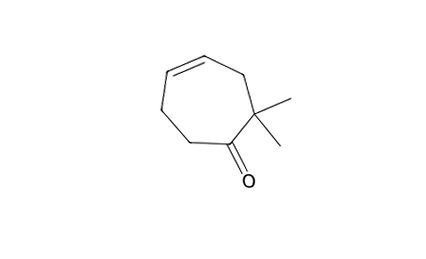 CC1(C)CC=CCCC1=O